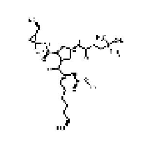 C=CCCCCC[C@H](NC(=O)OC(C)(C)C)C(=O)N1C[C@H](NC(=O)CC[Si](C)(C)C)CC1C(=O)NC1(C(=O)OCC)CC1C=C